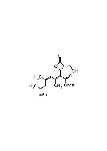 CCCCC(C)CC(C)=CC(C)=C(C(=O)OC)C1OC(=O)C1CO